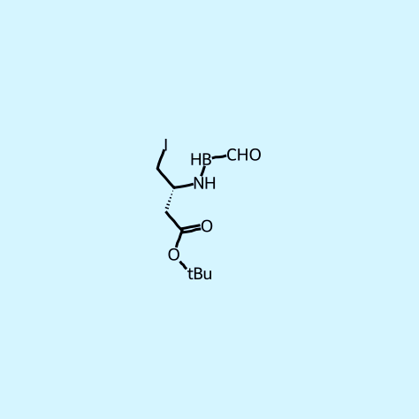 CC(C)(C)OC(=O)C[C@H](CI)NBC=O